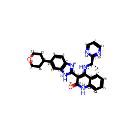 C[C@H](Nc1c(-c2nc3ccc(C4CCOCC4)cc3[nH]2)c(=O)[nH]c2ccccc12)c1ncccn1